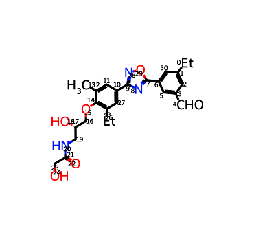 CCc1cc(C=O)cc(-c2nc(-c3cc(C)c(OC[C@@H](O)CNC(=O)CO)c(CC)c3)no2)c1